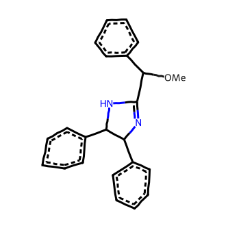 COC(C1=NC(c2ccccc2)C(c2ccccc2)N1)c1ccccc1